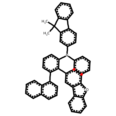 CC1(C)c2ccccc2-c2ccc(N(c3ccccc3)c3cccc(-c4cccc5ccccc45)c3-c3ccc4oc5ccccc5c4c3)cc21